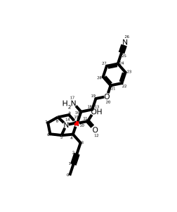 CC#CCC1C2CCC(CN1C(=O)O)N2CC(N)CCOc1ccc(C#N)cc1